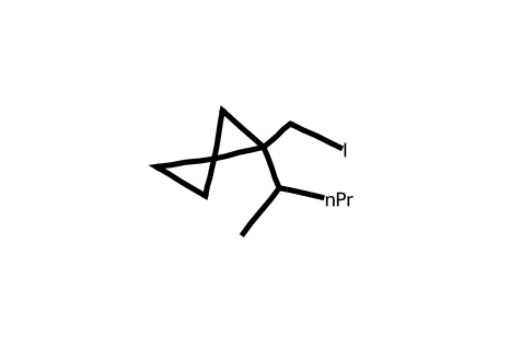 CCCC(C)C1(CI)CC12CC2